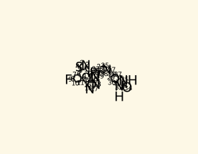 CC(C)c1ncsc1-c1cc(F)ccc1Oc1cncnc1N1CCC2(CCN(Cc3ccc4[nH]c(=O)[nH]c4c3)C2)C1